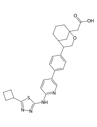 O=C(O)CC12CCCC(C1)C(c1ccc(-c3ccc(Nc4nnc(C5CCC5)s4)nc3)cc1)CO2